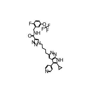 O=C(NCc1cc(OC(F)(F)F)ccc1F)c1cn(CCCCc2cc3c(-c4ccncc4)c(C4CC4)[nH]c3nn2)nn1